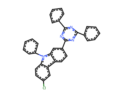 Clc1ccc2c(c1)c1ccc(-c3nc(-c4ccccc4)nc(-c4ccccc4)n3)cc1n2-c1ccccc1